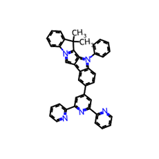 CC1(C)c2ccccc2-n2cc3c4cc(-c5cc(-c6ccccn6)nc(-c6ccccn6)c5)ccc4n(-c4ccccc4)c3c21